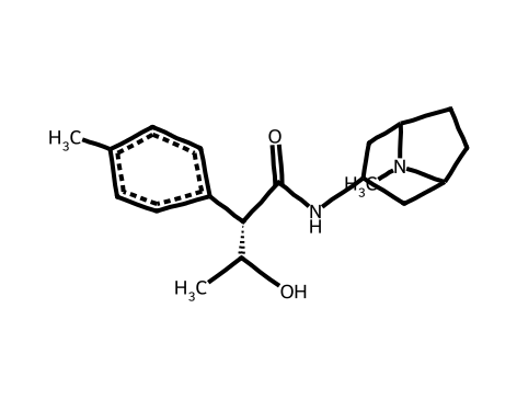 Cc1ccc([C@H](C(=O)NC2CC3CCC(C2)N3C)C(C)O)cc1